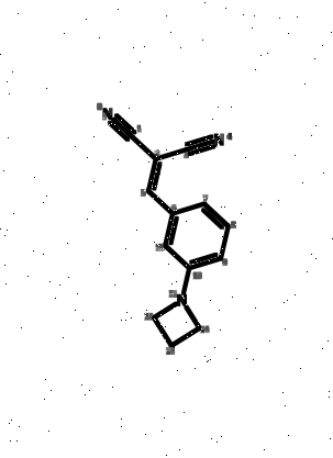 N#CC(C#N)=Cc1cccc(N2CCC2)c1